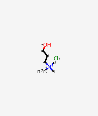 CCC[N+](C)(C)CCCO.[Cl-]